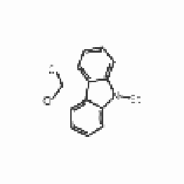 CCn1c2ccccc2c2ccccc21.ClCCl